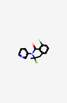 CC1(Br)Cc2cccc(F)c2C(=O)N1c1cccnc1